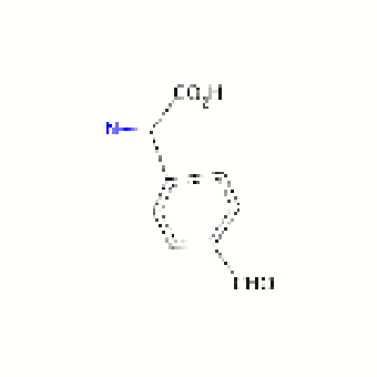 [N]C(C(=O)O)c1ccc(C=O)cc1